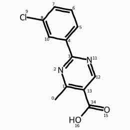 Cc1nc(-c2cccc(Cl)c2)ncc1C(=O)O